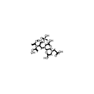 C=C(OO)N(C(=C)OO)C(COP(C)(=O)O)CN(CCN(CC(=O)O)CC(=O)O)CC(=O)O